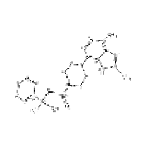 Cc1nc2c(C)ncc(C3CCN(C(=O)CC(C)(O)c4ccccc4)CC3)c2[nH]1